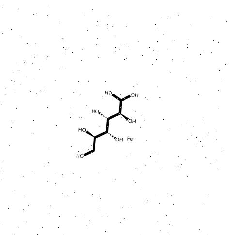 OC[C@@H](O)[C@@H](O)[C@H](O)[C@H](O)C(O)O.[Fe]